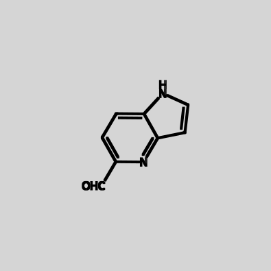 O=Cc1ccc2[nH]ccc2n1